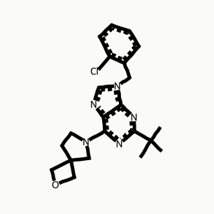 CC(C)(C)c1nc(N2CCC3(COC3)C2)c2ncn(Cc3ccccc3Cl)c2n1